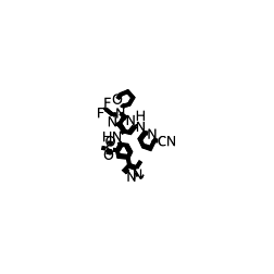 Cc1c(-c2ccc(Nc3cc(Nc4cccc(C#N)n4)nc4c3nc(C(F)F)n4C3CCCCO3)c(S(C)(=O)=O)c2)cnn1C